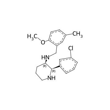 COc1ccc(C)cc1CN[C@@H]1CCCN[C@@H]1c1cccc(Cl)c1